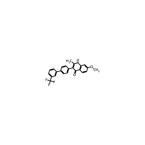 COc1ccc2c(=O)c(-c3ccc(-c4cccc(C(F)(F)F)c4)cc3)c(C)[nH]c2c1